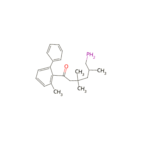 Cc1cccc(-c2ccccc2)c1C(=O)CC(C)(C)CC(C)CP